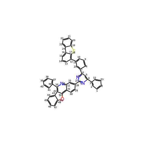 c1ccc(-c2cc(-c3cccc(-c4cccc5c4sc4ccccc45)c3)nc(-c3ccc4c(c3)nc(-c3ccccc3)c3c5ccccc5oc43)n2)cc1